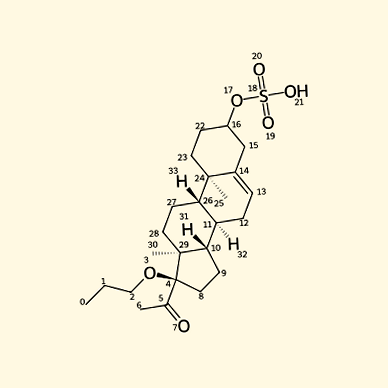 CCCO[C@]1(C(C)=O)CC[C@H]2[C@@H]3CC=C4CC(OS(=O)(=O)O)CC[C@]4(C)[C@H]3CC[C@@]21C